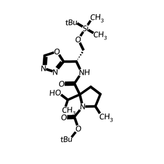 CC1CCC(C(=O)N[C@@H](CO[Si](C)(C)C(C)(C)C)c2nnco2)(C(C)O)N1C(=O)OC(C)(C)C